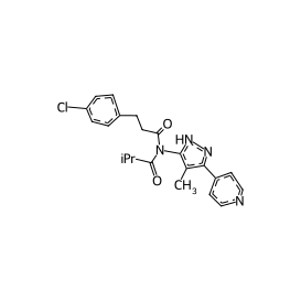 Cc1c(-c2ccncc2)n[nH]c1N(C(=O)CCc1ccc(Cl)cc1)C(=O)C(C)C